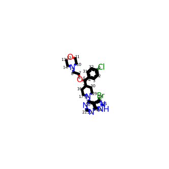 Clc1ccc([C@H](OCCN2CCOCC2)C2CCN(c3ncnc4[nH]nc(Br)c34)CC2)cc1